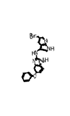 Brc1cnc2[nH]cc(Nc3nc4cc(Oc5ccccc5)ccc4[nH]3)c2c1